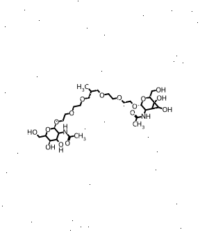 CC(=O)NC1C(O)[C@@H](O)C(CO)O[C@H]1OCCOCCOCC(C)COCCOCCO[C@@H]1OC(CO)C2(O)C(O)C2C1NC(C)=O